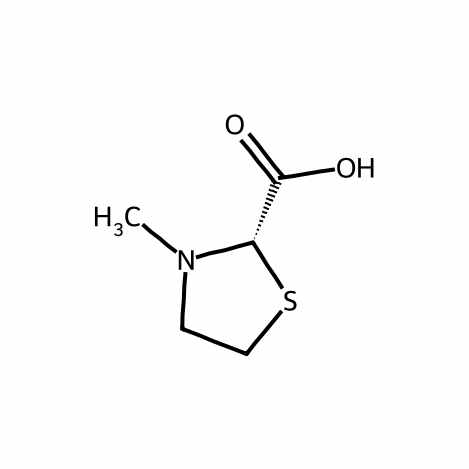 CN1CCS[C@H]1C(=O)O